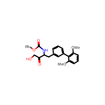 COc1cccc(OC)c1-c1cccc(CC(NC(=O)OC(C)(C)C)C(=O)CO)c1